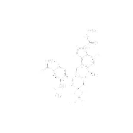 COC(=O)c1ccc([C@@H]2CC3(CCN2Cc2c(OC)cc(C)c4c2ccn4C(=O)OC(C)(C)C)CC(F)(F)C3)c(NCC#N)n1